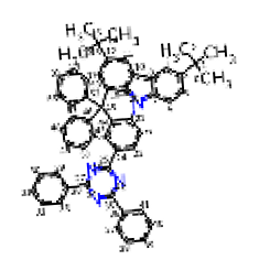 CC(C)(C)c1ccc2c(c1)c1cc(C(C)(C)C)cc3c1n2-c1ccc(-c2nc(-c4ccccc4)nc(-c4ccccc4)n2)cc1C3(c1ccccc1)c1ccccc1